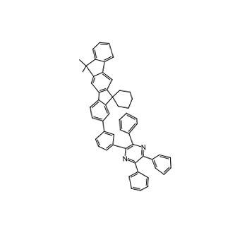 CC1(C)c2ccccc2-c2cc3c(cc21)-c1ccc(-c2cccc(-c4nc(-c5ccccc5)c(-c5ccccc5)nc4-c4ccccc4)c2)cc1C31CCCCC1